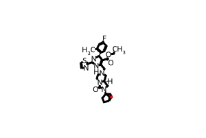 CCOC(=O)C1=C(CN2CCN3C(=O)N(C45CCC(CC4)C5)C[C@@H]3C2)NC(c2nccs2)=N[C@H]1c1ccc(F)cc1C